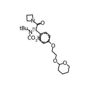 CC(C)(C)N(C(=O)O)[C@H](C(=O)N1CCC1)c1ccc(OCCOC2CCCCO2)cc1